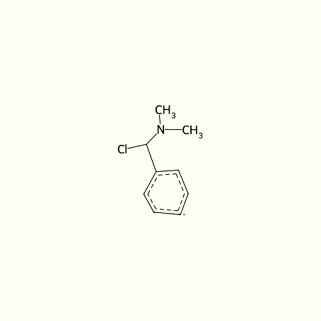 CN(C)C(Cl)c1cc[c]cc1